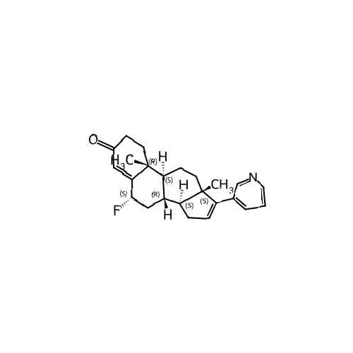 C[C@]12CCC(=O)C=C1[C@@H](F)C[C@@H]1[C@@H]2CC[C@]2(C)C(c3cccnc3)=CC[C@@H]12